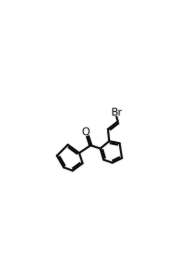 O=C(c1ccccc1)c1ccccc1C=CBr